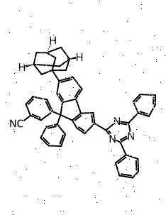 N#Cc1cccc(C2(c3ccccc3)c3ccc(-c4nc(-c5ccccc5)nc(-c5ccccc5)n4)cc3-c3ccc(C45C[C@H]6C[C@@H](C4)C[C@@H](C5)C6)cc32)c1